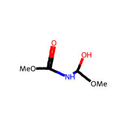 COC(=O)NC(O)OC